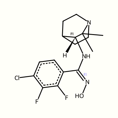 CC1(C)[C@H](N/C(=N/O)c2ccc(Cl)c(F)c2F)C2CCN1CC2